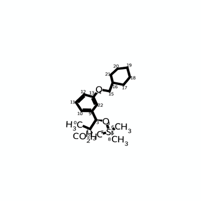 C[C@@H](C(=O)O)[C@H](O[Si](C)(C)C)c1cccc(OCC2CCCCC2)c1